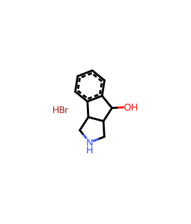 Br.OC1c2ccccc2C2CNCC12